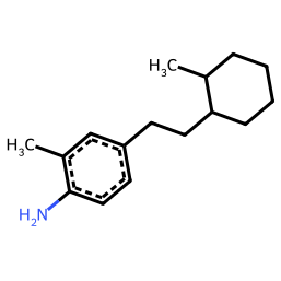 Cc1cc(CCC2CCCCC2C)ccc1N